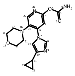 NC(=O)Oc1cc(-n2cnc(C3CC3)c2)c(N2CCOCC2)cn1